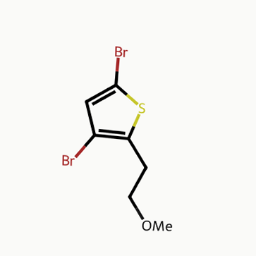 COCCc1sc(Br)cc1Br